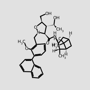 COc1c(CN2O[C@@H](CO)[C@H]([C@H](C)O)[C@H]2C(=O)N[C@H]2C[C@H]3C[C@@H]([C@@H]2C)C3(C)C)cccc1-c1cccc2ccccc12